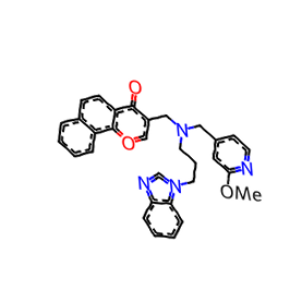 COc1cc(CN(CCCn2cnc3ccccc32)Cc2coc3c(ccc4ccccc43)c2=O)ccn1